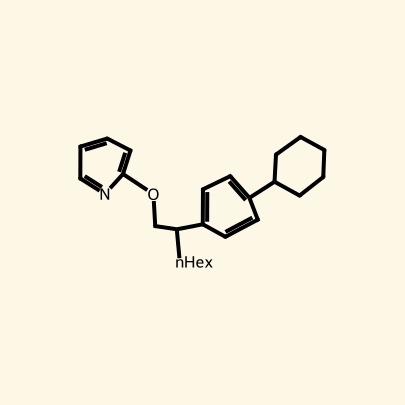 CCCCCCC(COc1ccccn1)c1ccc(C2CCCCC2)cc1